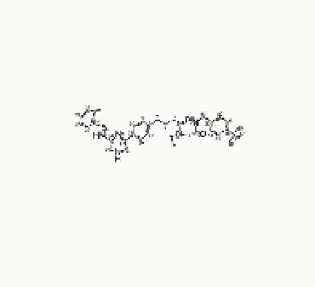 CCN(C)/C(CCCc1ccc(C2=NC(NSc3ccccc3)=CNC2)cc1)=N\N(C=O)Cc1ccc(C(C)(C)C)cc1